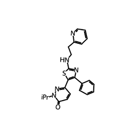 CC(C)n1nc(-c2sc(NCCc3ccccn3)nc2-c2ccccc2)ccc1=O